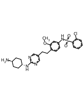 COc1cc(NS(=O)(=O)c2ccccc2Cl)ccc1CCc1cnc(N[C@H]2CC[C@H](N)CC2)nc1